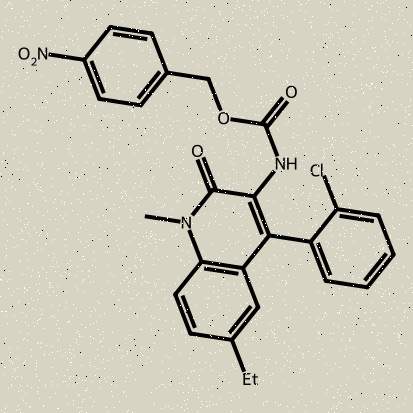 CCc1ccc2c(c1)c(-c1ccccc1Cl)c(NC(=O)OCc1ccc([N+](=O)[O-])cc1)c(=O)n2C